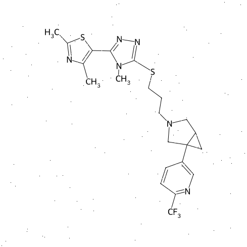 Cc1nc(C)c(-c2nnc(SCCCN3CC4CC4(c4ccc(C(F)(F)F)nc4)C3)n2C)s1